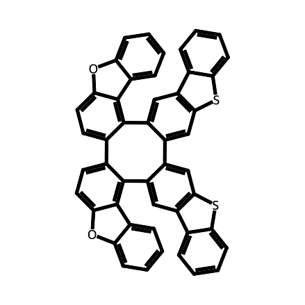 c1ccc2c(c1)oc1ccc3c(c12)-c1cc2c(cc1-c1cc4sc5ccccc5c4cc1-c1c-3ccc3oc4ccccc4c13)sc1ccccc12